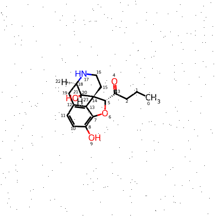 CCCC(=O)[C@@H]1Oc2c(O)ccc3c2[C@@]12CCN[C@H](C3)[C@H]2O